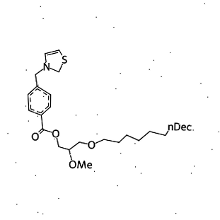 CCCCCCCCCCCCCCCCOCC(COC(=O)c1ccc(CN2C=CSC2)cc1)OC